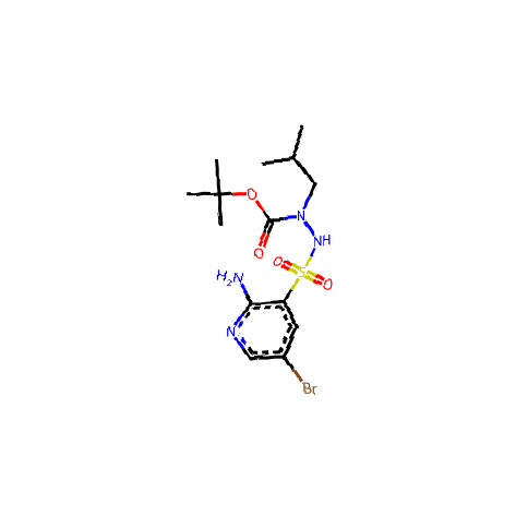 CC(C)CN(NS(=O)(=O)c1cc(Br)cnc1N)C(=O)OC(C)(C)C